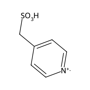 O=S(=O)(O)CC1=CC=[N+]C=C1